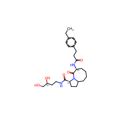 CCc1ccc(CCC(=O)N[C@H]2CCCCC3CC[C@@H](C(=O)NCC[C@H](O)CO)N3C2=O)cc1